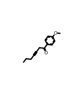 CCCC#CCC(=O)c1ccc(OC)cc1